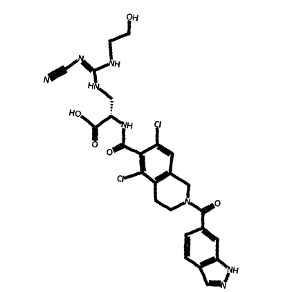 N#C/N=C(/NCCO)NC[C@H](NC(=O)c1c(Cl)cc2c(c1Cl)CCN(C(=O)c1ccc3cn[nH]c3c1)C2)C(=O)O